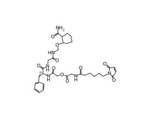 NC(=O)C1CCCCC1OCNC(=O)CNC(=O)[C@H](Cc1ccccc1)NC(=O)COC(=O)CNC(=O)CCCCCN1C(=O)C=CC1=O